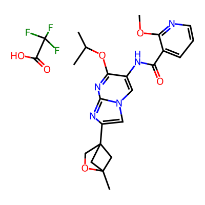 COc1ncccc1C(=O)Nc1cn2cc(C34COC(C)(C3)C4)nc2nc1OC(C)C.O=C(O)C(F)(F)F